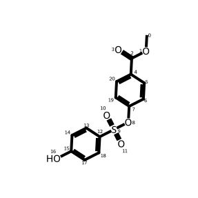 COC(=O)c1ccc(OS(=O)(=O)c2ccc(O)cc2)cc1